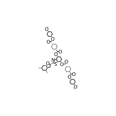 COc1ccc(OC(=O)[C@H]2CC[C@H](C(=O)Oc3ccc(OC(=O)[C@H]4CC[C@H](C(=O)Oc5ccc(OC)cc5)CC4)c4sc(-c5cc6c(C)cc(C)cc6o5)nc34)CC2)cc1